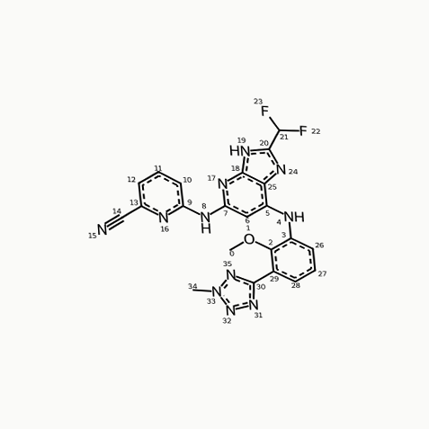 COc1c(Nc2cc(Nc3cccc(C#N)n3)nc3[nH]c(C(F)F)nc23)cccc1-c1nnn(C)n1